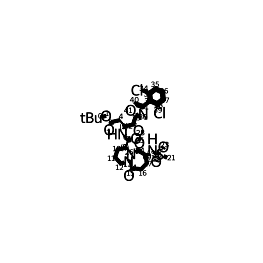 CC(C)(C)OC(=O)C[C@H](NC(=O)[C@@H]1CCCN2C(=O)CC[C@H](NS(C)(=O)=O)C(=O)N12)C(=O)c1nc(-c2c(Cl)cccc2Cl)co1